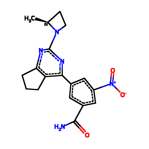 C[C@H]1CCN1c1nc2c(c(-c3cc(C(N)=O)cc([N+](=O)[O-])c3)n1)CCC2